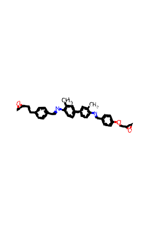 Cc1cc(-c2ccc(N=Cc3ccc(OCC4CO4)cc3)c(C)c2)ccc1N=Cc1ccc(CCC2CO2)cc1